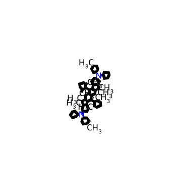 Cc1ccc(N(c2ccccc2)c2ccc3c(c2)C(C)(C)c2cc4c(-c5c(C)cccc5C)c5c(cc4c(-c4c(C)cccc4C)c2-3)C(C)(C)c2cc(N(c3ccccc3)c3ccc(C)cc3)ccc2-5)cc1